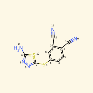 N#Cc1ccc(Sc2nnc(N)s2)cc1C#N